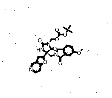 COc1ccc2c(c1)C(=O)N(C[C@@]1(c3cc4cnccc4o3)NC(=O)N(COC(=O)OC(C)(C)C)C1=O)C2